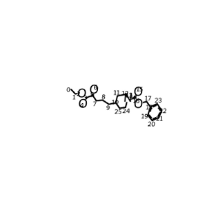 CCOC(=O)C(=O)CCCC1CCN(C(=O)OCc2ccccc2)CC1